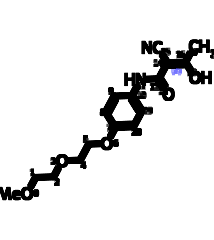 COCCOCCOc1ccc(NC(=O)/C(C#N)=C(/C)O)cc1